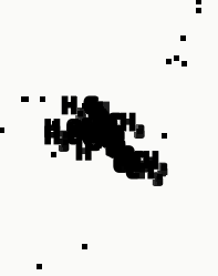 COC(=O)[C@H](Cc1ccc(OC(=O)N(C)C)cc1)N(C(=O)[C@H]1NC(C)(C)CS1)S(=O)(=O)c1cnn(C)c1